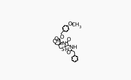 C=CC1=C(C(=O)OCc2ccc(OC)cc2)N2C(=O)C(NC(=O)Cc3ccccc3)[C@H]2SC1